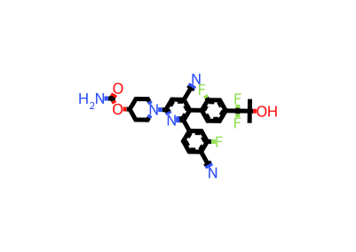 CC(C)(O)C(F)(F)c1ccc(-c2c(C#N)cc(N3CCC(OC(N)=O)CC3)nc2-c2ccc(C#N)c(F)c2)c(F)c1